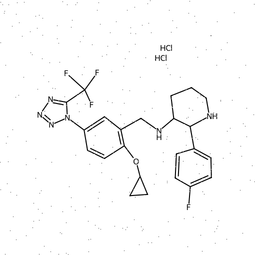 Cl.Cl.Fc1ccc(C2NCCCC2NCc2cc(-n3nnnc3C(F)(F)F)ccc2OC2CC2)cc1